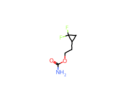 NC(=O)OCCC1CC1(F)F